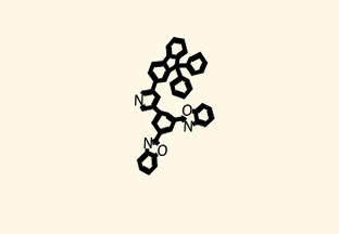 c1ccc(C2(c3ccccc3)c3ccccc3-c3ccc(-c4cncc(-c5cc(-c6nc7ccccc7o6)cc(-c6nc7ccccc7o6)c5)c4)cc32)cc1